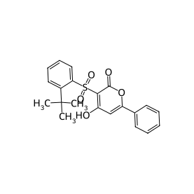 CC(C)(C)c1ccccc1S(=O)(=O)c1c(O)cc(-c2ccccc2)oc1=O